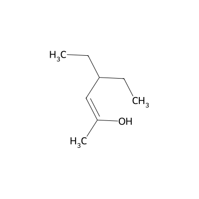 CCC(C=C(C)O)CC